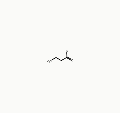 O=C(Br)CC[N+](=O)[O-]